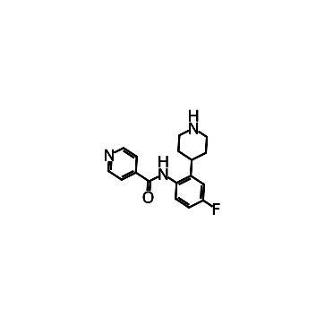 O=C(Nc1ccc(F)cc1C1CCNCC1)c1ccncc1